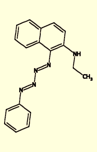 CCNc1ccc2ccccc2c1N=NN=Nc1ccccc1